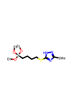 CCO[Si](CCCCSc1nc(SC)n[nH]1)(OCC)OCC